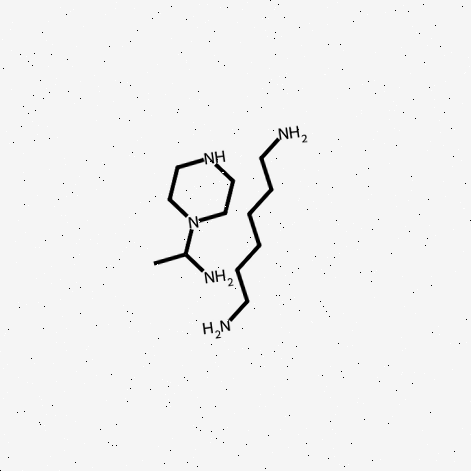 CC(N)N1CCNCC1.NCCCCCCN